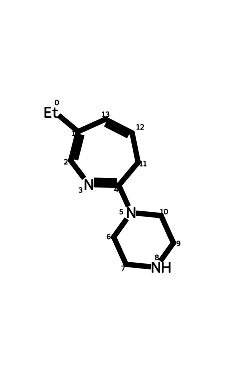 CCC1=CN=C(N2CCNCC2)CC=C1